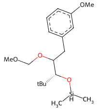 COCOC(Cc1cccc(OC)c1)[C@H](O[SiH](C)C)C(C)(C)C